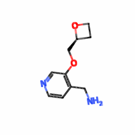 NCc1ccncc1OC[C@@H]1CCO1